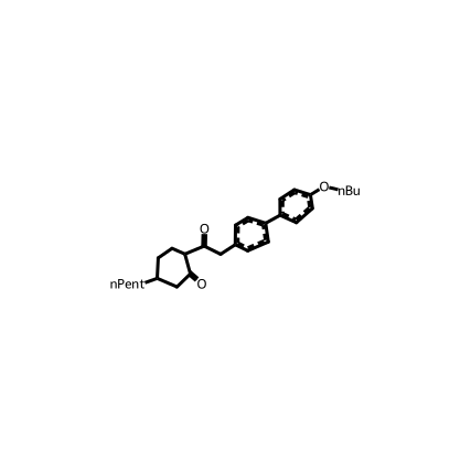 CCCCCC1CCC(C(=O)Cc2ccc(-c3ccc(OCCCC)cc3)cc2)C(=O)C1